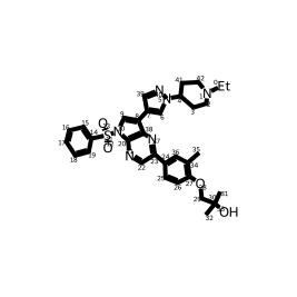 CCN1CCC(n2cc(-c3cn(S(=O)(=O)c4ccccc4)c4ncc(-c5ccc(OCC(C)(C)O)c(C)c5)nc34)cn2)CC1